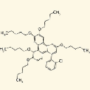 CCCCCOc1cc(-c2ccccc2Cl)c2c(c1)c1cc(OCCCCC)c(OCCCCC)cc1c1c(OCCCCC)c(OCCCCC)ccc21